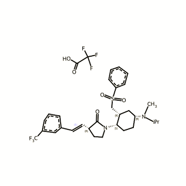 CC(C)N(C)[C@@H]1CC[C@H](N2CC[C@H](/C=C/c3cccc(C(F)(F)F)c3)C2=O)[C@H](CS(=O)(=O)c2ccccc2)C1.O=C(O)C(F)(F)F